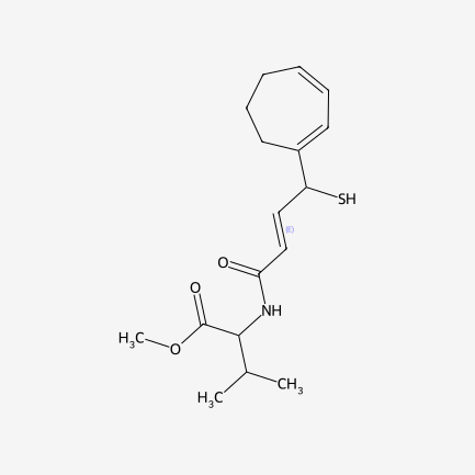 COC(=O)C(NC(=O)/C=C/C(S)C1=CC=CCCC1)C(C)C